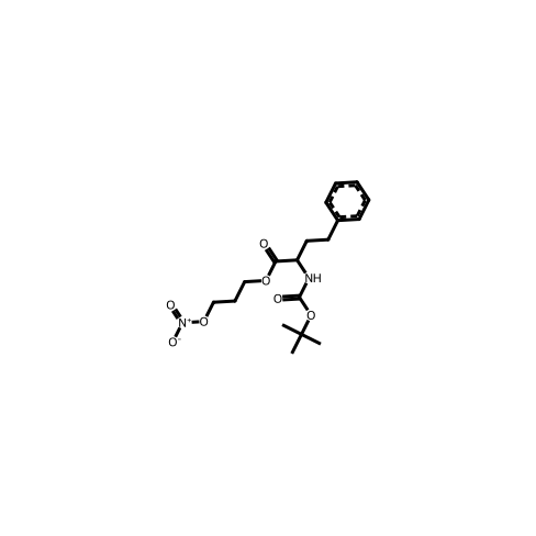 CC(C)(C)OC(=O)NC(CCc1ccccc1)C(=O)OCCCO[N+](=O)[O-]